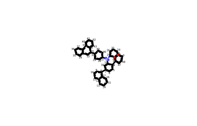 c1ccc(-c2ccc(-c3cccc4ccccc34)cc2N(c2ccccc2)c2ccc(-c3cc4ccccc4c4ccccc34)cc2)cc1